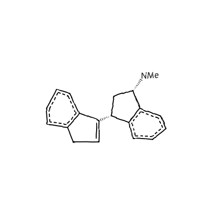 CN[C@H]1C[C@@H](C2=CCc3ccccc32)c2ccccc21